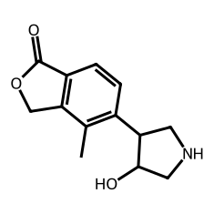 Cc1c(C2CNCC2O)ccc2c1COC2=O